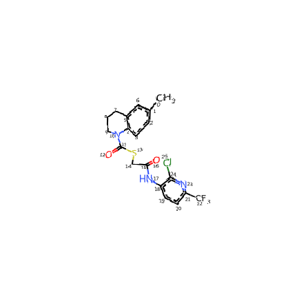 Cc1ccc2c(c1)CCCN2C(=O)SCC(=O)Nc1ccc(C(F)(F)F)nc1Cl